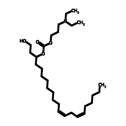 CCCCC/C=C\C/C=C\CCCCCCCCC(CCO)OC(=O)OCCCN(CC)CC